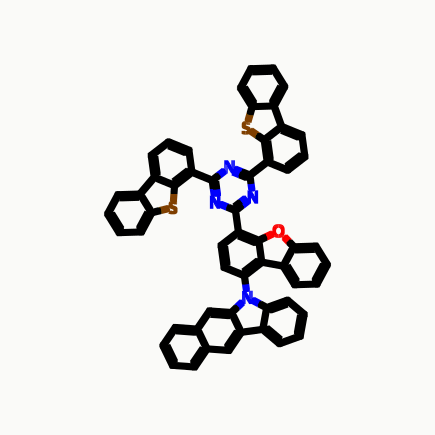 c1ccc2cc3c(cc2c1)c1ccccc1n3-c1ccc(-c2nc(-c3cccc4c3sc3ccccc34)nc(-c3cccc4c3sc3ccccc34)n2)c2oc3ccccc3c12